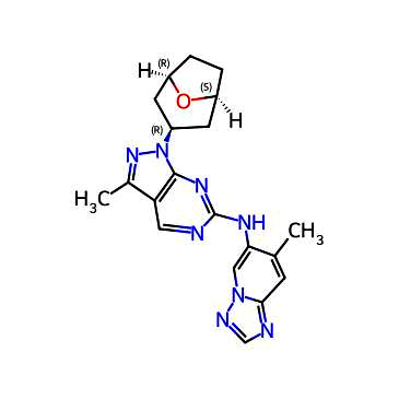 Cc1cc2ncnn2cc1Nc1ncc2c(C)nn([C@H]3C[C@H]4CC[C@@H](C3)O4)c2n1